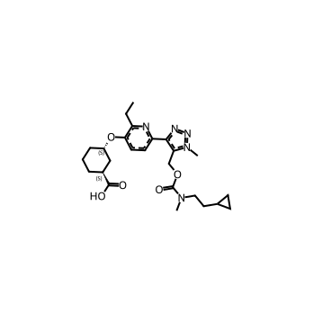 CCc1nc(-c2nnn(C)c2COC(=O)N(C)CCC2CC2)ccc1O[C@H]1CCC[C@H](C(=O)O)C1